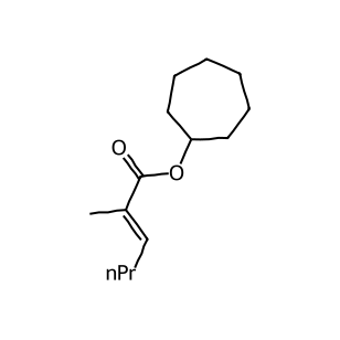 CCCC=C(C)C(=O)OC1CCCCCC1